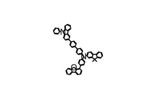 CC1(C)c2ccccc2-c2ccc(N(c3ccc(-c4ccc(-c5ccc6c(c5)c5ccccc5n6-c5ccccc5)cc4)cc3)c3ccc(-c4cccc5c4oc4ccccc45)cc3)cc21